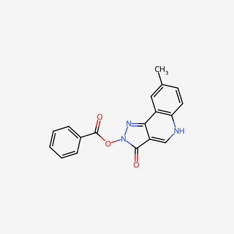 Cc1ccc2[nH]cc3c(=O)n(OC(=O)c4ccccc4)nc-3c2c1